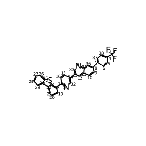 FC(F)(F)c1ccc(-c2ccc3cc(-c4ccc(-c5cccc6c5sc5ccccc56)nc4)cnc3c2)cc1